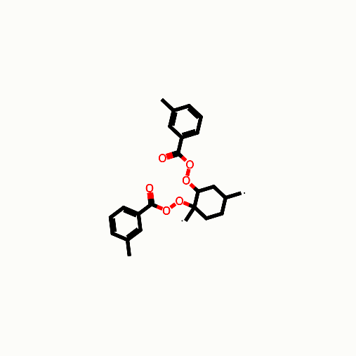 [CH2]C1CCC([CH2])(OOC(=O)c2cccc(C)c2)C(OOC(=O)c2cccc(C)c2)C1